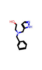 OCCN(Cc1ccccc1)Cc1ccn[nH]1